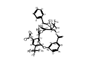 C=C1CCC(OCc2ccccc2)(C(F)(F)F)c2nnc(o2)-c2nc(c(C(F)(F)F)cc2[N+](=O)[O-])Oc2cccc1c2